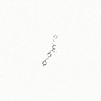 Cc1ccc(CCc2ccc(Cc3c[nH]c4ncc(OCCN5CCCC5)cc34)cn2)cc1